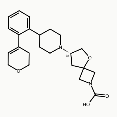 O=C(O)N1CC2(C[C@H](N3CCC(c4ccccc4C4=CCOCC4)CC3)CO2)C1